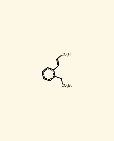 CCOC(=O)Cc1ccccc1C=CC(=O)O